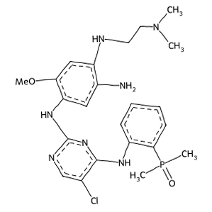 COc1cc(NCCN(C)C)c(N)cc1Nc1ncc(Cl)c(Nc2ccccc2P(C)(C)=O)n1